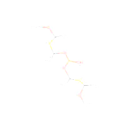 CCCCCCCCOC(C)SC(C)OP(O)OC(C)SC(C)OCCCCCCCC